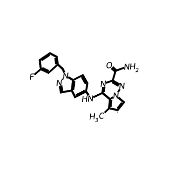 Cc1[c]cn2nc(C(N)=O)nc(Nc3ccc4c(cnn4Cc4cccc(F)c4)c3)c12